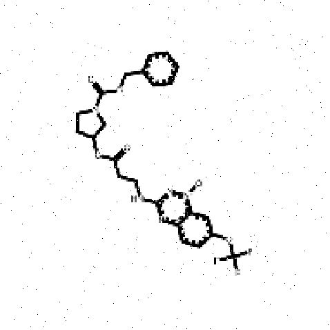 O=C(CCNc1nc2ccc(OC(F)(F)F)cc2[n+]([O-])n1)OC1CCN(C(=O)OCc2ccccc2)C1